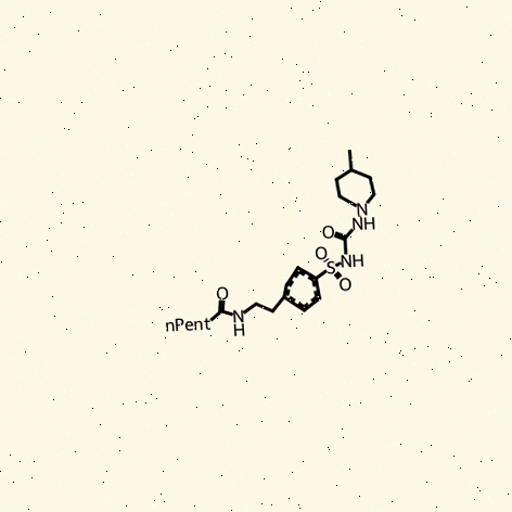 CCCCCC(=O)NCCc1ccc(S(=O)(=O)NC(=O)NN2CCC(C)CC2)cc1